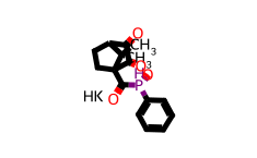 CC1(C)C2CCC1(C(=O)[PH](=O)c1ccccc1)C(=O)C2=O.[KH]